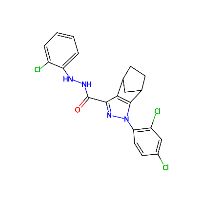 O=C(NNc1ccccc1Cl)c1nn(-c2ccc(Cl)cc2Cl)c2c1C1CCC2C1